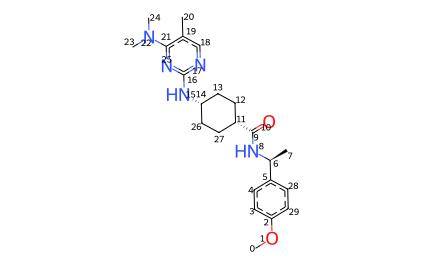 COc1ccc([C@H](C)NC(=O)[C@H]2CC[C@@H](Nc3ncc(C)c(N(C)C)n3)CC2)cc1